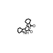 O=c1c2ccccc2n2c3c([nH]c4ccccc43)c(=O)n12